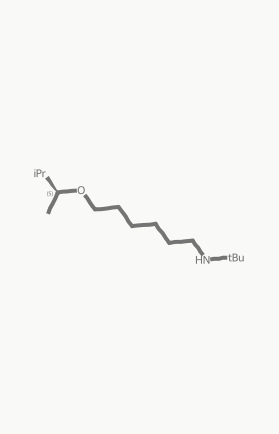 CC(C)[C@H](C)OCCCCCCNC(C)(C)C